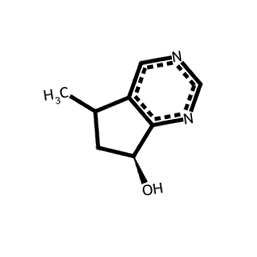 CC1C[C@H](O)c2ncncc21